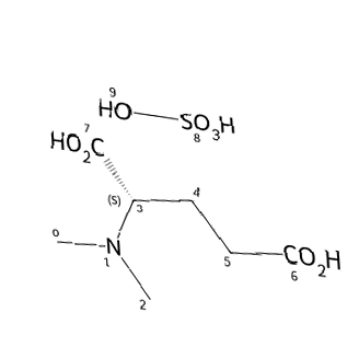 CN(C)[C@@H](CCC(=O)O)C(=O)O.O=S(=O)(O)O